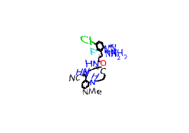 CNc1ccc2c(c1)NCCCCC[C@H](NC(=O)/C=C/c1c(N(N)/C=N\N)ccc(Cl)c1F)c1nc-2c(C#N)[nH]1